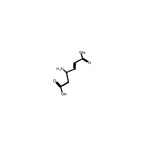 NC(C=CC(=O)O)CC(=O)O